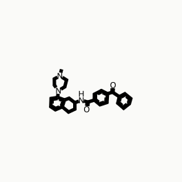 CN1CCN(c2cccc3c2CC(NC(=O)c2ccc(C(=O)c4ccccc4)cc2)CC3)CC1